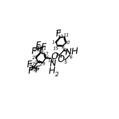 N[C@@H](O[C@H]1OCCN[C@H]1c1ccc(F)cc1)c1cc(C(F)(F)F)cc(C(F)(F)F)c1